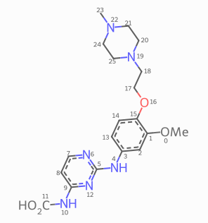 COc1cc(Nc2nccc(NC(=O)O)n2)ccc1OCCN1CCN(C)CC1